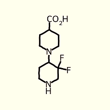 O=C(O)C1CCN(C2CCNCC2(F)F)CC1